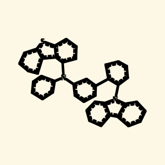 c1ccc(N(c2cccc(-c3ccccc3-n3c4ccccc4c4ccccc43)c2)c2cccc3sc4ccccc4c23)cc1